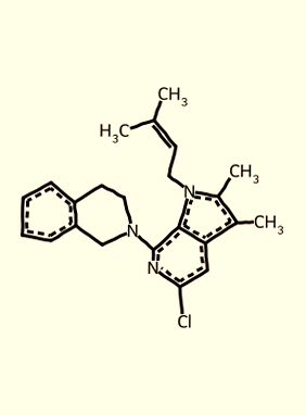 CC(C)=CCn1c(C)c(C)c2cc(Cl)nc(N3CCc4ccccc4C3)c21